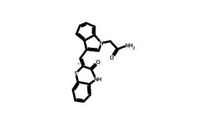 NC(=O)Cn1cc(/C=C2/Sc3ccccc3NC2=O)c2ccccc21